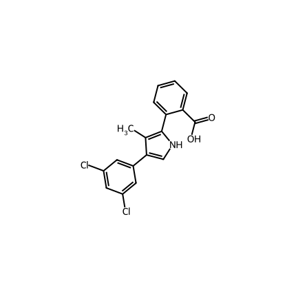 Cc1c(-c2cc(Cl)cc(Cl)c2)c[nH]c1-c1ccccc1C(=O)O